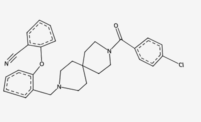 N#Cc1ccccc1Oc1ccccc1CN1CCC2(CC1)CCN(C(=O)c1ccc(Cl)cc1)CC2